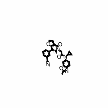 Cc1nc2ccc(N(C(=O)Cn3nc(-c4cccc(C#N)c4)c4occc4c3=O)C3CC3)cc2o1